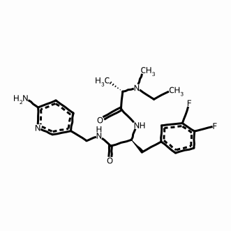 CCN(C)[C@@H](C)C(=O)N[C@@H](Cc1ccc(F)c(F)c1)C(=O)NCc1ccc(N)nc1